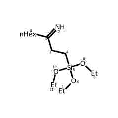 CCCCCCC(=N)CC[Si](OCC)(OCC)OCC